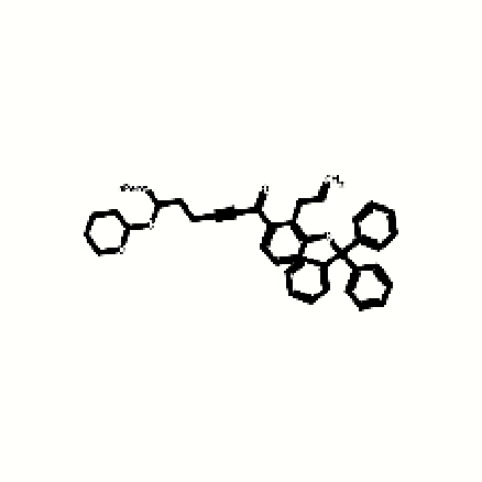 C=CCc1c(OC(c2ccccc2)(c2ccccc2)c2ccccc2)cccc1C(=O)C#CCCC(CCCCC)OC1CCCCO1